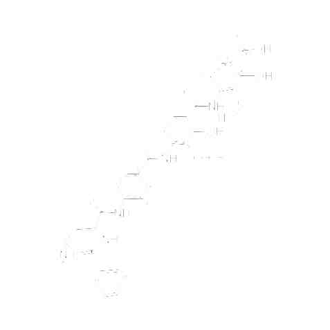 COc1c(NC(=O)c2ccc(NC(=O)c3ccc(NC(=O)C(CC#N)NC(=O)c4ccccc4)cc3)c(OC)c2O)ccc(C(=O)O)c1O